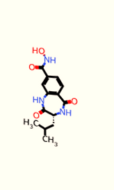 CC(C)C[C@H]1NC(=O)c2ccc(C(=O)NO)cc2NC1=O